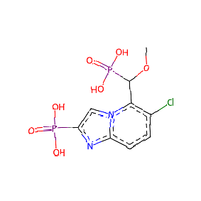 COC(c1c(Cl)ccc2nc(P(=O)(O)O)cn12)P(=O)(O)O